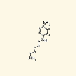 NCCCCCNc1ccc(N)cc1